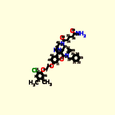 Cc1cc(Cl)c(OCCOc2ccc(C3=C(C(=O)N(Cc4ccccc4)C4CC4)C4CN(C(=O)CCCC(N)=O)CC(C3)N4)cc2)cc1C